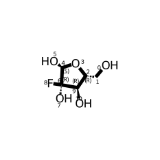 OC[C@H]1O[C@H](O)[C@](O)(F)[C@@H]1O